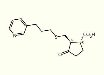 O=C1CC[C@@H](C(=O)O)[C@@H]1CSCCCc1cccnc1